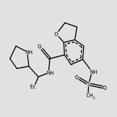 CCC(NC(=O)c1cc(NS(C)(=O)=O)cc2c1OCC2)C1CCCN1